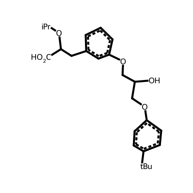 CC(C)OC(Cc1cccc(OCC(O)COc2ccc(C(C)(C)C)cc2)c1)C(=O)O